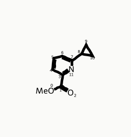 COC(=O)c1cccc(C2CC2)n1